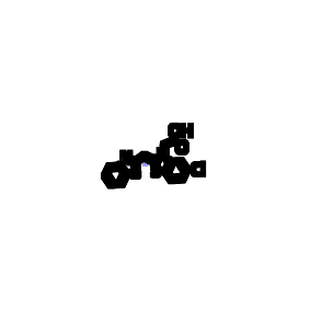 O=C(O)CN1/C(=C/c2nc3ccccc3s2)Sc2ccc(Cl)cc21